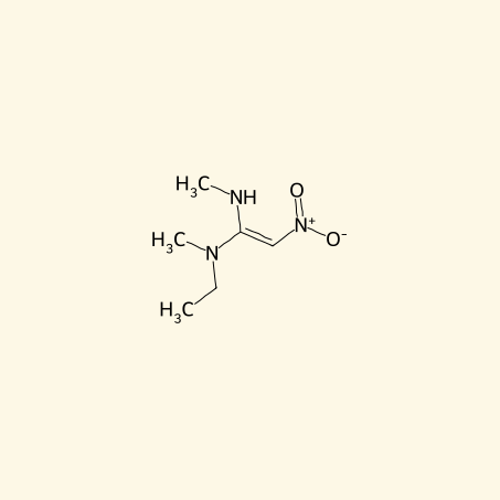 CCN(C)/C(=C/[N+](=O)[O-])NC